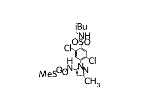 CCC(C)CNS(=O)(=O)c1cc(Cl)c(-n2nc(C)cc2NOOSC)cc1Cl